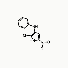 O=[N+]([O-])c1cc(Nc2ccccc2)c(Cl)[nH]1